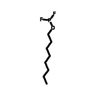 CCCCCCCCOP(F)F